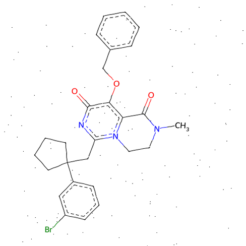 CN1CCn2c(CC3(c4cccc(Br)c4)CCCC3)nc(=O)c(OCc3ccccc3)c2C1=O